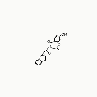 COC(CN1CCc2ccccc2C1)CN1CC(C)Oc2cc(O)ccc2C1=O